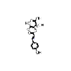 O=C(/C=C/c1ccc(O)cc1)O[C@@H](C(=O)O)[C@@H](O)C(=O)O